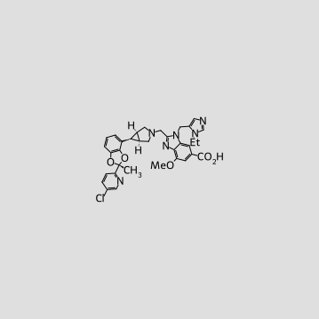 CCn1cncc1Cn1c(CN2C[C@@H]3[C@H](C2)[C@@H]3c2cccc3c2O[C@](C)(c2ccc(Cl)cn2)O3)nc2c(OC)cc(C(=O)O)cc21